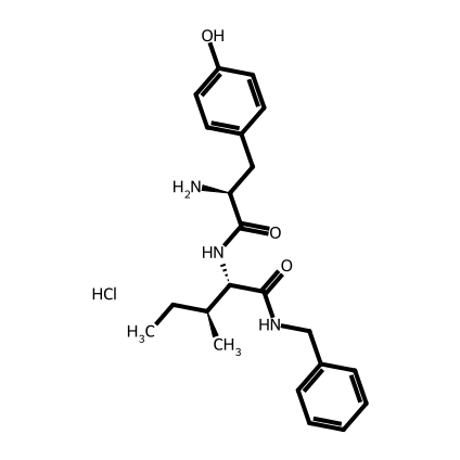 CC[C@H](C)[C@H](NC(=O)[C@@H](N)Cc1ccc(O)cc1)C(=O)NCc1ccccc1.Cl